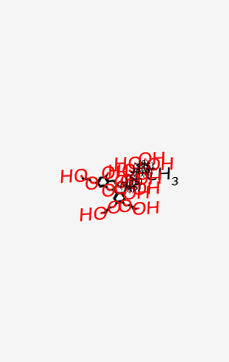 C[C@H]1O[C@@H](C(O)[C@H]2O[C@H](OC3(O)Cc4c(O)cc(OCCO)cc4OC3c3ccc(OCCO)c(OCCO)c3)[C@H](O)[C@@H](O)[C@@H]2O)[C@@H](O)[C@@H](O)[C@@H]1O